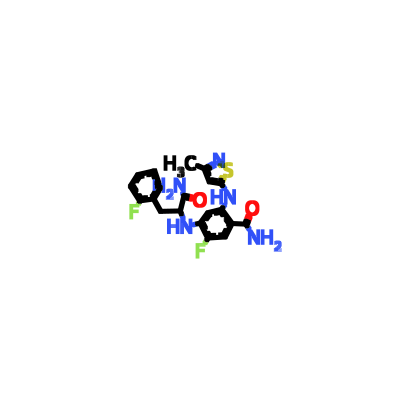 Cc1cc(Nc2cc(NC(Cc3ccccc3F)C(N)=O)c(F)cc2C(N)=O)sn1